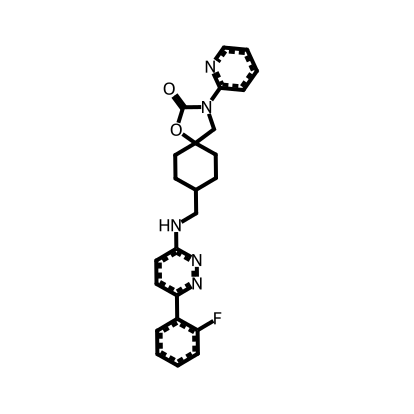 O=C1OC2(CCC(CNc3ccc(-c4ccccc4F)nn3)CC2)CN1c1ccccn1